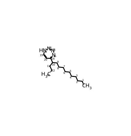 CCCCCCCCCCC(CCC)C1=NN=NNC=C1